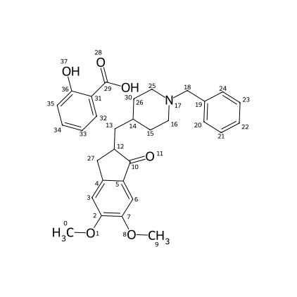 COc1cc2c(cc1OC)C(=O)C(CC1CCN(Cc3ccccc3)CC1)C2.O=C(O)c1ccccc1O